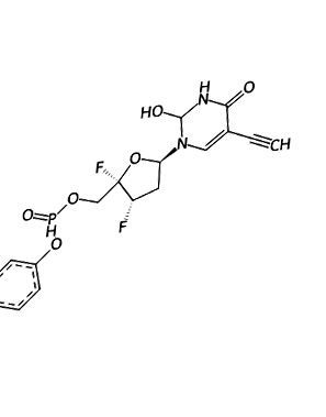 C#CC1=CN([C@H]2C[C@H](F)[C@@](F)(CO[PH](=O)Oc3ccccc3)O2)C(O)NC1=O